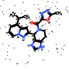 Cc1nnc(C(=O)N2CCc3[nH]cnc3[C@H]2c2cc3c(C(C)C)cccn3n2)o1